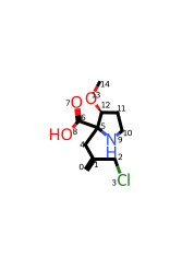 C=C(CCl)CC1(C(=O)O)NCC[C@@H]1OC